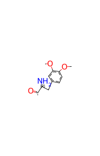 COc1ccc(C[C@@H](N)[C]=O)cc1OC